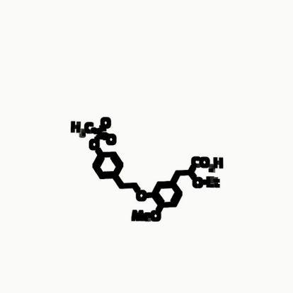 CCOC(Cc1ccc(OC)c(OCCc2ccc(OS(C)(=O)=O)cc2)c1)C(=O)O